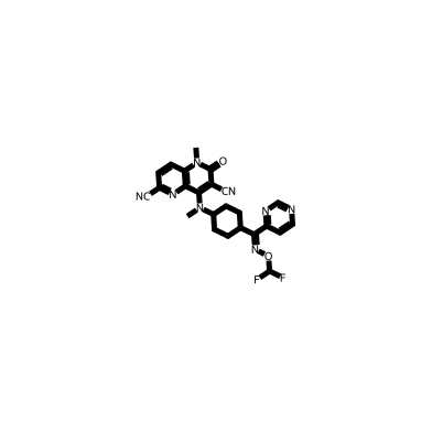 CN(c1c(C#N)c(=O)n(C)c2ccc(C#N)nc12)C1CCC(/C(=N/OC(F)F)c2ccncn2)CC1